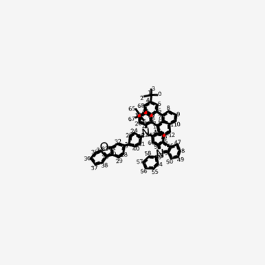 CC(C)(C)c1cc(-c2cccc3cccc(-c4ccccc4N(c4ccc(-c5ccc6c(c5)oc5ccccc56)cc4)c4ccc5c6ccccc6n(-c6ccccc6)c5c4)c23)cc(C(C)(C)C)c1